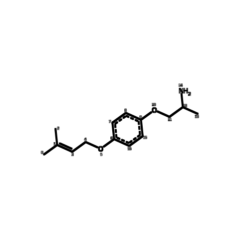 CC(C)=CCOc1ccc(OCC(C)N)cc1